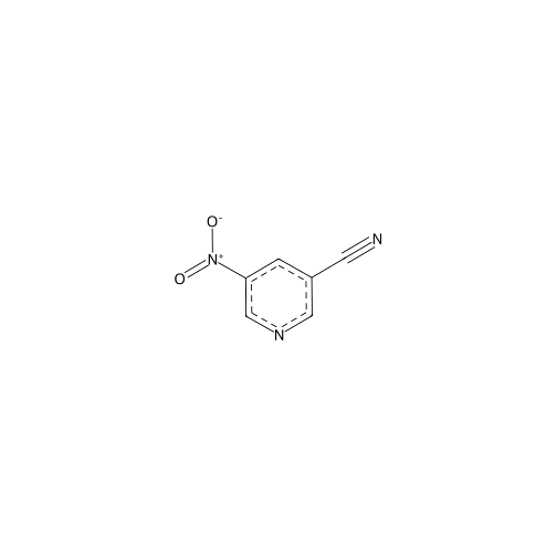 N#Cc1cncc([N+](=O)[O-])c1